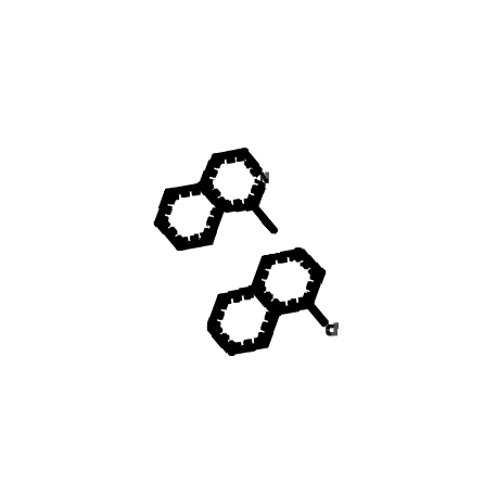 Cc1nccc2ccccc12.Clc1cccc2ccccc12